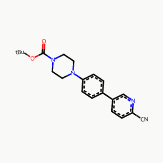 CC(C)(C)OC(=O)N1CCN(c2ccc(-c3ccc(C#N)nc3)cc2)CC1